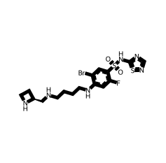 O=S(=O)(Nc1ncns1)c1cc(Br)c(NCCCCNC[C@@H]2CCN2)cc1F